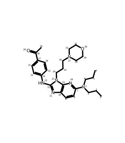 CCCN(CCC)c1ccc2nc(Nc3ccc(C(C)=O)cc3)n(CCCN3CCOCC3)c2n1